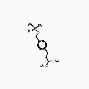 COC(CCc1ccc(CO[Si](C(C)C)(C(C)C)C(C)C)cc1)OC